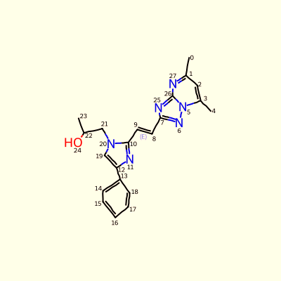 Cc1cc(C)n2nc(/C=C/c3nc(-c4ccccc4)cn3CC(C)O)nc2n1